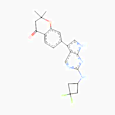 CC1(C)CC(=O)c2ccc(-c3c[nH]c4nc(NC5CC(F)(F)C5)ncc34)cc2O1